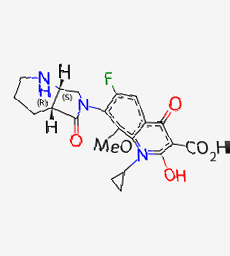 COc1c(N2C[C@H]3NCCC[C@H]3C2=O)c(F)cc2c(=O)c(C(=O)O)c(O)n(C3CC3)c12